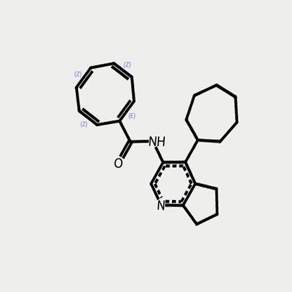 O=C(Nc1cnc2c(c1C1CCCCCC1)CCC2)C1=C/C=C\C=C/C=C\1